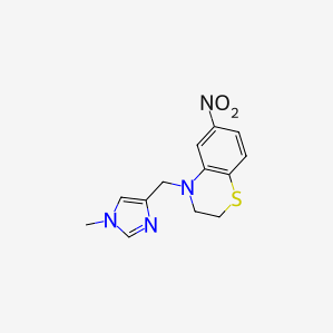 Cn1cnc(CN2CCSc3ccc([N+](=O)[O-])cc32)c1